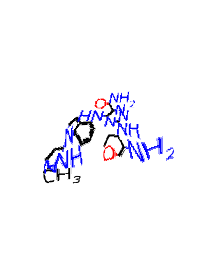 CN1C=CC(n2ccc3c(Nc4nc(N[C@@H]5CCOC[C@@H]5N)nnc4C(N)=O)cccc32)N1